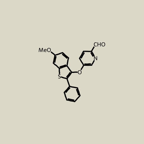 COc1ccc2c(Oc3ccc(C=O)nc3)c(-c3ccccc3)sc2c1